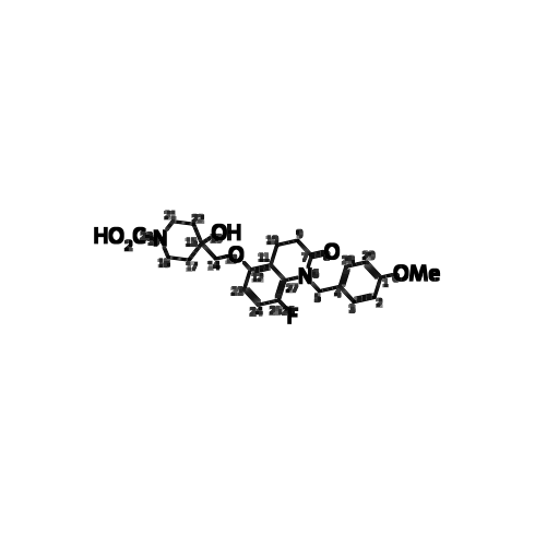 COc1ccc(CN2C(=O)CCc3c(OCC4(O)CCN(C(=O)O)CC4)ccc(F)c32)cc1